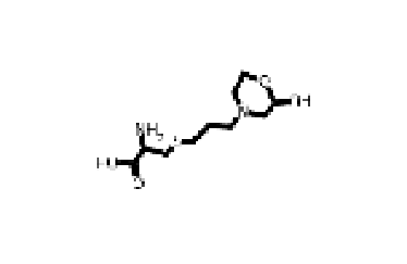 NC(CSCCCN1CCOC(O)C1)C(=O)O